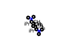 CC(C)C1=CC(N(c2ccccc2)c2ccccc2)=CC2C1c1ccc3c(c1C2(C)C)C(C)(C)c1cc(N(c2ccccc2)c2ccccc2)cc(C(C)C)c1-3